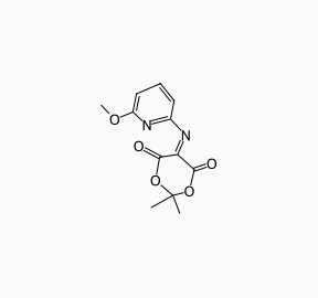 COc1cccc(N=C2C(=O)OC(C)(C)OC2=O)n1